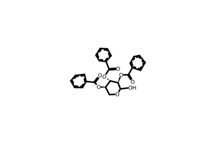 O=C(O[C@H]1[C@H](OC(=O)c2ccccc2)COC(O)[C@@H]1OC(=O)c1ccccc1)c1ccccc1